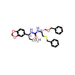 O=C(O)C[C@H](NC(=O)N[C@H](COCc1ccccc1)CSCc1ccccc1)c1ccc2c(c1)OCO2